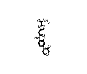 NC(=O)c1nc(CC(=O)Nc2ccc(N3CCOCC3=O)cc2F)cs1